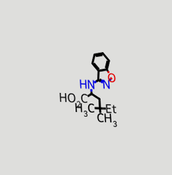 CCC(C)(C)CC(Nc1noc2ccccc12)C(=O)O